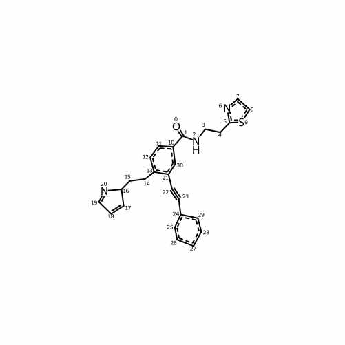 O=C(NCCc1nccs1)c1ccc(CCC2C=CC=N2)c(C#Cc2ccccc2)c1